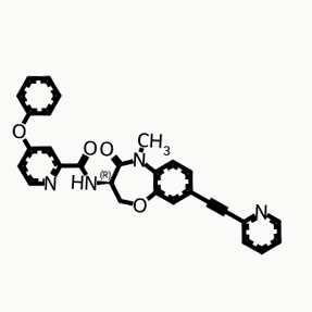 CN1C(=O)[C@H](NC(=O)c2cc(Oc3ccccc3)ccn2)COc2cc(C#Cc3ccccn3)ccc21